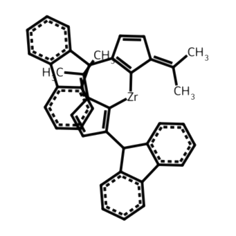 CC(C)=C1C=CC(C2c3ccccc3-c3ccccc32)=[C]1[Zr][C]1=C(C2c3ccccc3-c3ccccc32)C=CC1=C(C)C